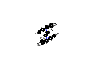 N#Cc1ccc(-c2ccc3c4ccc(-c5ccc(C#N)cc5)cc4n(-c4cc(-c5ccc(C#N)c(-n6c7cc(-c8ccc(C#N)cc8)ccc7c7ccc(-c8ccc(C#N)cc8)cc76)c5)ccc4C#N)c3c2)cc1